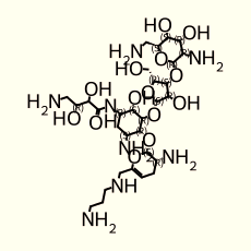 NCCCNCC1=CC[C@@H](N)[C@@H](O[C@H]2[C@H](O[C@@H]3O[C@H](CO)[C@@H](O[C@H]4O[C@@H](CN)[C@@H](O)[C@H](O)[C@H]4N)[C@H]3O)[C@@H](O)[C@H](NC(=O)C(O)[C@H](O)CN)C[C@@H]2N)O1